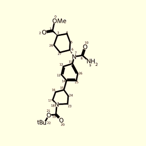 COC(=O)[C@H]1CC[C@H](N(C(N)=O)c2ccc(C3CCN(C(=O)OC(C)(C)C)CC3)cc2)CC1